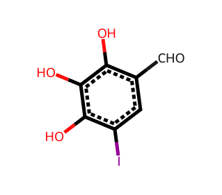 O=Cc1cc(I)c(O)c(O)c1O